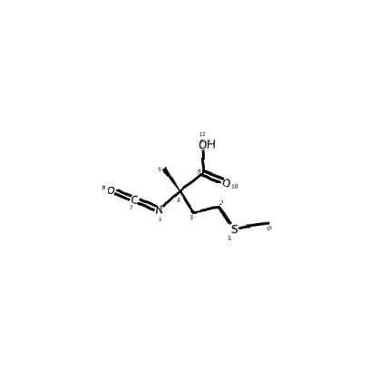 CSCC[C@](C)(N=C=O)C(=O)O